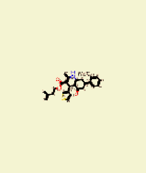 C=C(C)CCOC(=O)C1=C(C)NC2=C(C(=O)CC(c3ccccc3OC)C2)C1c1ccsc1